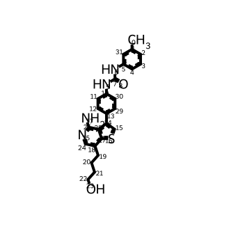 Cc1cccc(NC(=O)Nc2ccc(-c3csc4c(CCCCO)cnc(N)c34)cc2)c1